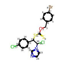 S=C(OCc1ccc(Br)cc1)SC(c1ccc(Cl)cc1)C(Cl)n1ccnc1